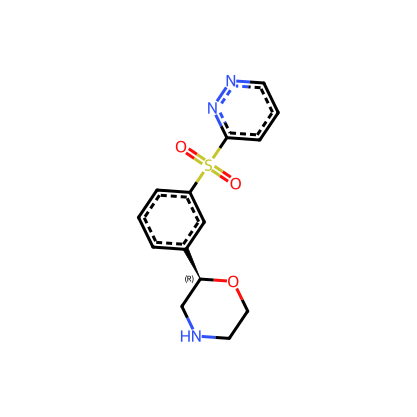 O=S(=O)(c1cccc([C@@H]2CNCCO2)c1)c1cccnn1